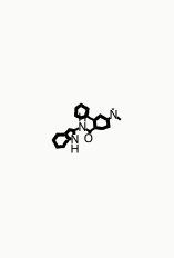 CN(C)c1ccc(C(=O)Nc2cc3ccccc3[nH]2)c(-c2ccccc2)c1